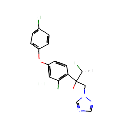 C[C@@H](F)C(O)(Cn1cncn1)c1ccc(Oc2ccc(Cl)cc2)cc1Cl.Cl